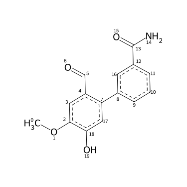 COc1cc(C=O)c(-c2cccc(C(N)=O)c2)cc1O